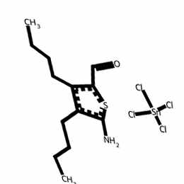 CCCCc1c(N)sc(C=O)c1CCCC.[Cl][Sn]([Cl])([Cl])[Cl]